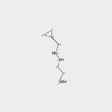 COCCNNCC1CC1